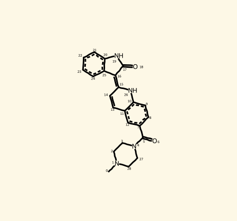 CN1CCN(C(=O)c2ccc3c(c2)C=CC(=C2C(=O)Nc4ccccc42)N3)CC1